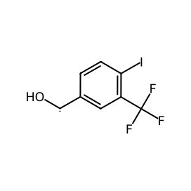 O[CH]c1ccc(I)c(C(F)(F)F)c1